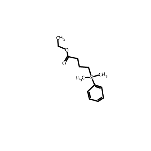 CCOC(=O)CCC[Si](C)(C)c1ccccc1